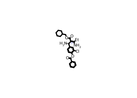 CC/C(N)=C(\C(=O)OCC1CCCCC1)[C@@H](N)c1ccc(OC(=O)c2ccccc2)c(Cl)c1